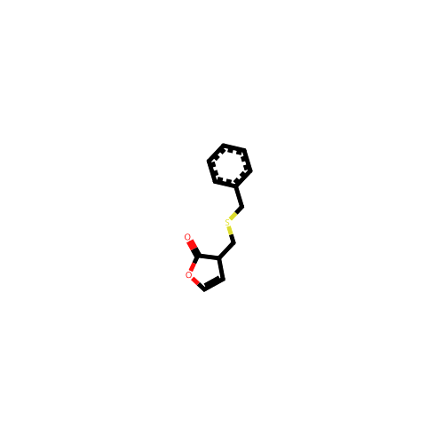 O=C1OC=CC1CSCc1ccccc1